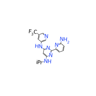 CC(C)Nc1cc(Nc2cncc(C(F)(F)F)c2)nc(-c2cccc(N)n2)n1